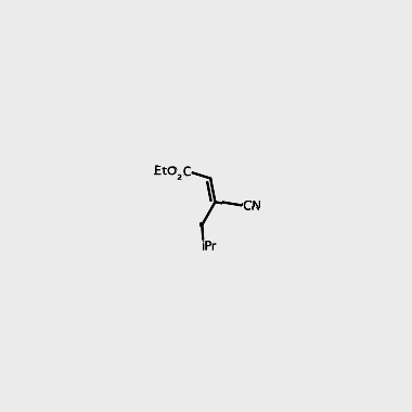 CCOC(=O)C=C(C#N)CC(C)C